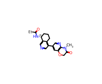 CCC(=O)N[C@@H]1CCCc2c(-c3cnc4c(c3)OCC(=O)N4C)cncc21